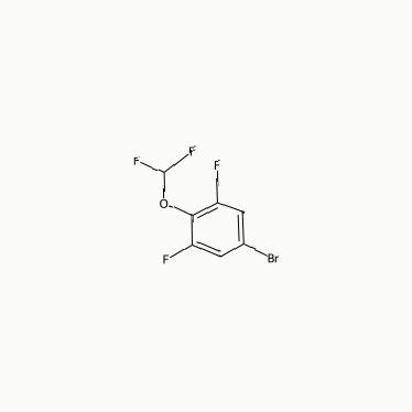 Fc1cc(Br)cc(F)c1OC(F)F